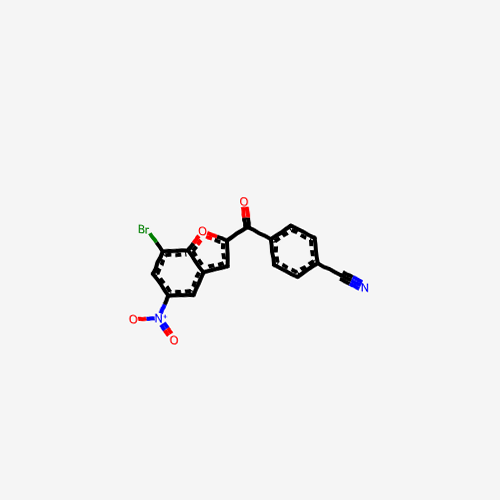 N#Cc1ccc(C(=O)c2cc3cc([N+](=O)[O-])cc(Br)c3o2)cc1